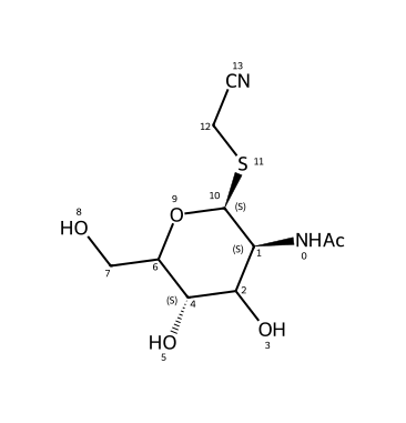 CC(=O)N[C@H]1C(O)[C@H](O)C(CO)O[C@H]1SCC#N